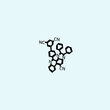 N#Cc1cc(C#N)cc(-c2ccc(-c3nc4ccccc4c4c(C#N)cc5nc(-c6ccccc6)c(-c6ccccc6)nc5c34)cc2)c1